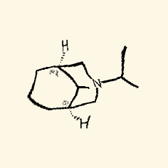 CC1[C@@H]2CCC[C@H]1CN(C(C)C)C2